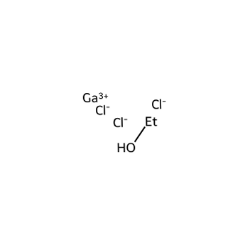 CCO.[Cl-].[Cl-].[Cl-].[Ga+3]